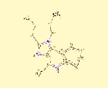 CCCc1nc2c(C)nc3ccccc3c2n1CCC